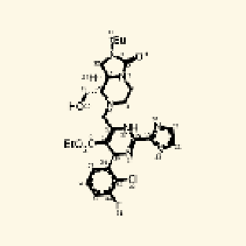 CCOC(=O)C1=C(CN2CCN3C(=O)N(C(C)(C)C)C[C@@H]3[C@H]2CO)NC(c2nccs2)=N[C@H]1c1cccc(F)c1Cl